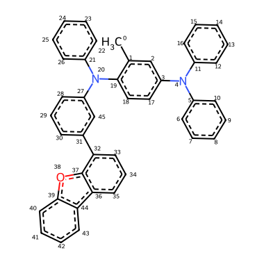 Cc1cc(N(c2ccccc2)c2ccccc2)ccc1N(c1ccccc1)c1cccc(-c2cccc3c2oc2ccccc23)c1